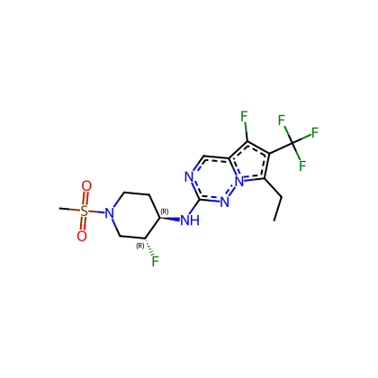 CCc1c(C(F)(F)F)c(F)c2cnc(N[C@@H]3CCN(S(C)(=O)=O)C[C@H]3F)nn12